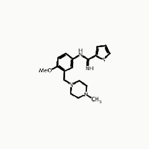 COc1ccc(NC(=N)c2cccs2)cc1CN1CCN(C)CC1